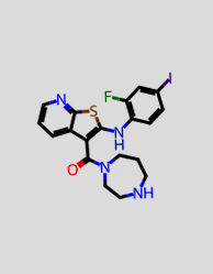 O=C(c1c(Nc2ccc(I)cc2F)sc2ncccc12)N1CCCNCC1